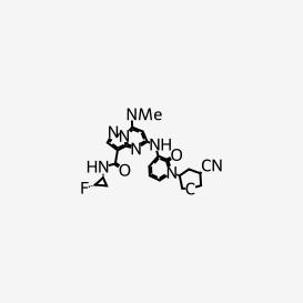 CNc1cc(Nc2cccn([C@@H]3CCC[C@H](C#N)C3)c2=O)nc2c(C(=O)N[C@@H]3C[C@@H]3F)cnn12